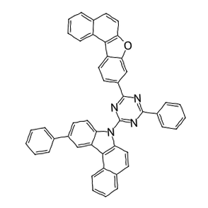 c1ccc(-c2ccc3c(c2)c2c4ccccc4ccc2n3-c2nc(-c3ccccc3)nc(-c3ccc4c(c3)oc3ccc5ccccc5c34)n2)cc1